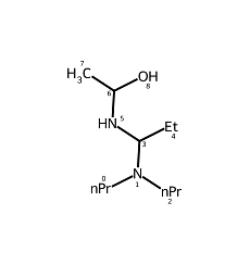 CCCN(CCC)C(CC)NC(C)O